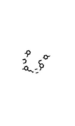 Cc1cc(C=CC(=O)N2CCN(Cc3ccc4nc(Oc5ccc(C(C)C)cc5)ccc4c3)CC2)cc(Cl)c1Oc1ccc(OCc2ccccc2Cl)cn1